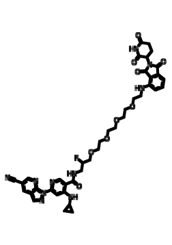 N#Cc1cnc2c(cnn2-c2cc(NC3CC3)c(C(=O)NCC(F)COCCOCCOCCOCCNc3cccc4c3C(=O)N(C3CCC(=O)NC3=O)C4=O)cn2)c1